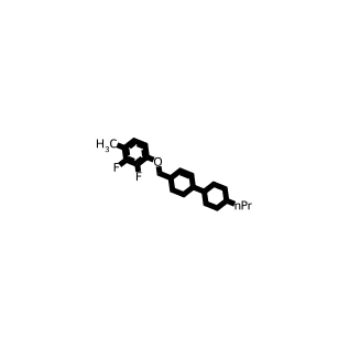 CCCC1CCC(C2C=CC(COc3ccc(C)c(F)c3F)CC2)CC1